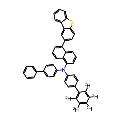 [2H]c1c([2H])c([2H])c(-c2ccc(N(c3ccc(-c4ccccc4)cc3)c3cccc4c(-c5ccc6sc7ccccc7c6c5)cccc34)cc2)c([2H])c1[2H]